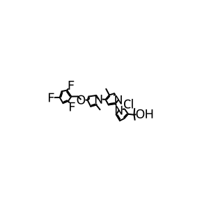 CC1=CC(OCc2c(F)cc(F)cc2F)=CCN1c1cc(N2C=CC=C(C(C)(C)O)C2Cl)ncc1C